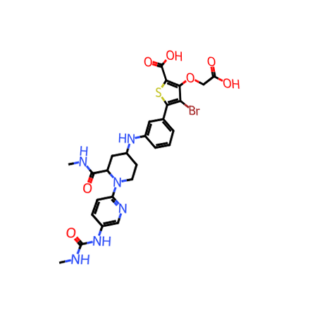 CNC(=O)Nc1ccc(N2CCC(Nc3cccc(-c4sc(C(=O)O)c(OCC(=O)O)c4Br)c3)CC2C(=O)NC)nc1